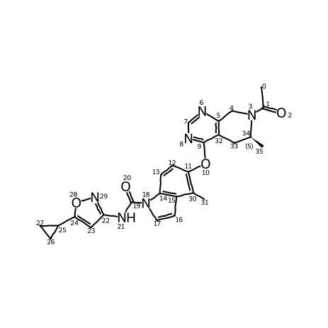 CC(=O)N1Cc2ncnc(Oc3ccc4c(ccn4C(=O)Nc4cc(C5CC5)on4)c3C)c2C[C@@H]1C